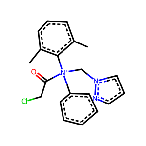 Cc1cccc(C)c1[N+](Cn1cccn1)(C(=O)CCl)c1ccccc1